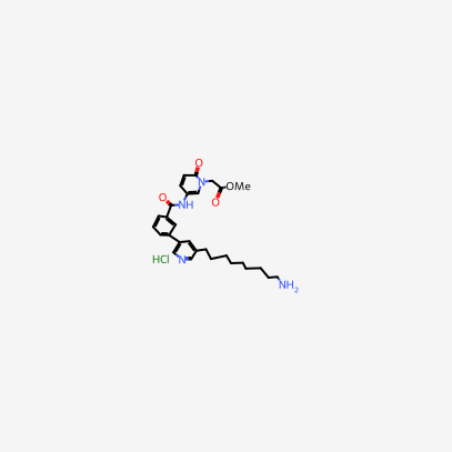 COC(=O)Cn1cc(NC(=O)c2cccc(-c3cncc(CCCCCCCCCN)c3)c2)ccc1=O.Cl